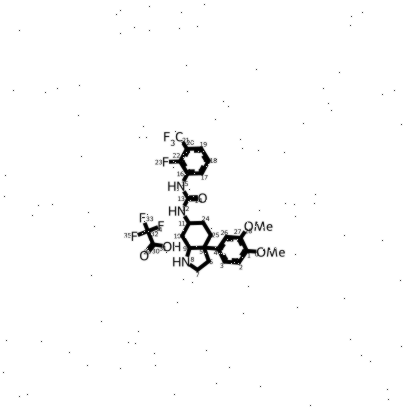 COc1ccc(C23CCNC2CC(NC(=O)Nc2cccc(C(F)(F)F)c2F)CC3)cc1OC.O=C(O)C(F)(F)F